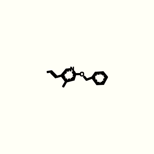 C/C=C/c1cnc(OCc2ccccc2)cc1C